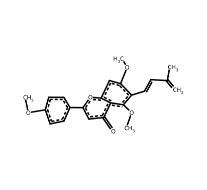 C=C(C)/C=C/c1c(OC)cc2oc(-c3ccc(OC)cc3)cc(=O)c2c1OC